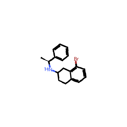 C[C@H](NC1CCc2cccc(Br)c2C1)c1ccccc1